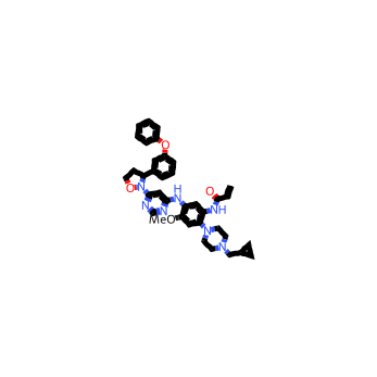 C=CC(=O)Nc1cc(Nc2cc(N3OCCC3c3cccc(Oc4ccccc4)c3)ncn2)c(OC)cc1N1CCN(CC2CC2)CC1